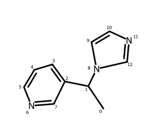 CC(c1cccnc1)n1ccnc1